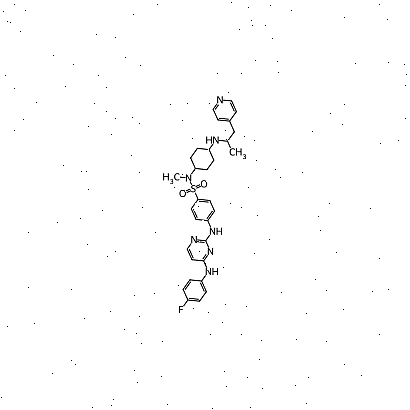 CC(Cc1ccncc1)NC1CCC(N(C)S(=O)(=O)c2ccc(Nc3nccc(Nc4ccc(F)cc4)n3)cc2)CC1